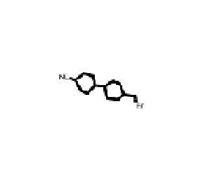 CC(C)CC1CCC(C2CCC(C#N)CC2)CC1